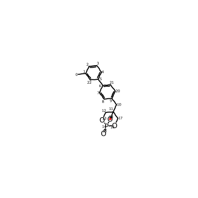 Cc1cccc(-c2ccc(CC34COP(=O)(OC3)OC4)cc2)c1